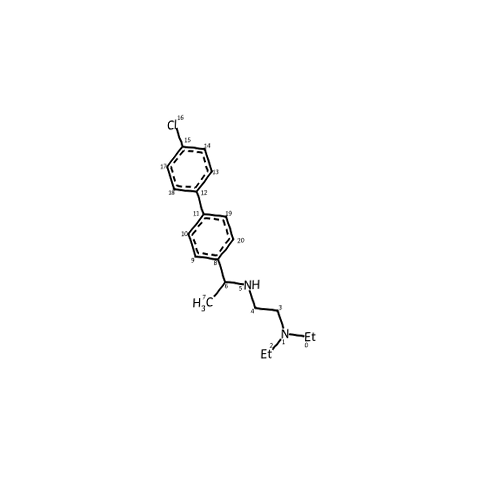 CCN(CC)CCNC(C)c1ccc(-c2ccc(Cl)cc2)cc1